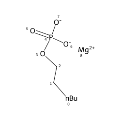 CCCCCCOP(=O)([O-])[O-].[Mg+2]